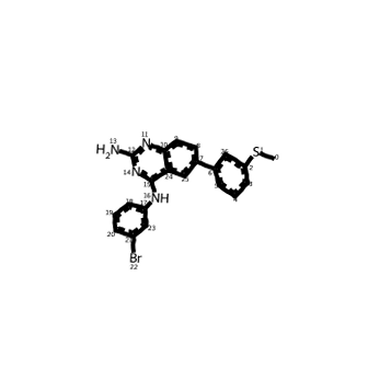 CSc1cccc(-c2ccc3nc(N)nc(Nc4cccc(Br)c4)c3c2)c1